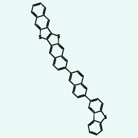 c1ccc2cc3c(cc2c1)sc1c2cc4ccc(-c5ccc6cc(-c7ccc8sc9ccccc9c8c7)ccc6c5)cc4cc2sc31